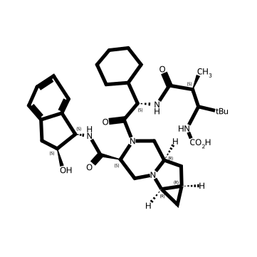 C[C@H](C(=O)N[C@H](C(=O)N1C[C@H]2C[C@H]3C[C@H]3N2C[C@H]1C(=O)N[C@H]1c2ccccc2C[C@@H]1O)C1CCCCC1)C(NC(=O)O)C(C)(C)C